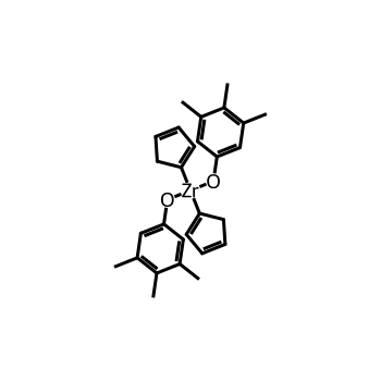 Cc1cc([O][Zr]([O]c2cc(C)c(C)c(C)c2)([C]2=CC=CC2)[C]2=CC=CC2)cc(C)c1C